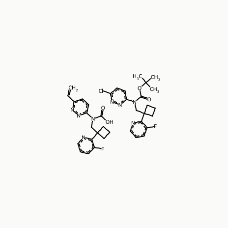 C=Cc1ccc(N(CC2(c3ncccc3F)CCC2)C(=O)O)nn1.CC(C)(C)OC(=O)N(CC1(c2ncccc2F)CCC1)c1ccc(Cl)nn1